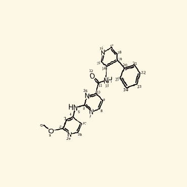 COc1cc(Nc2nccc(C(=O)Nc3cnccc3-c3ccccc3)n2)ccn1